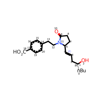 CCCC[C@@H](O)C/C=C/C1CCC(=O)N1CCc1ccc(C(=O)O)cc1